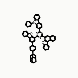 c1ccc(-n2c3ccccc3c3ccc(-c4nc(-c5cc(-c6ccc(C78CC9CC(CC(C9)C7)C8)cc6)cc6c5oc5ccccc56)nc(-c5cc6ccccc6c6c5oc5ccccc56)n4)cc32)cc1